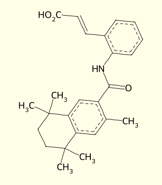 Cc1cc2c(cc1C(=O)Nc1ccccc1C=CC(=O)O)C(C)(C)CCC2(C)C